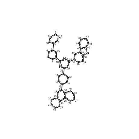 c1cncc(-c2cccc(-c3nc(-c4ccc(-c5cc6ccccc6c6ccccc56)cc4)cc(-c4ccc5sc6ccccc6c5c4)n3)c2)c1